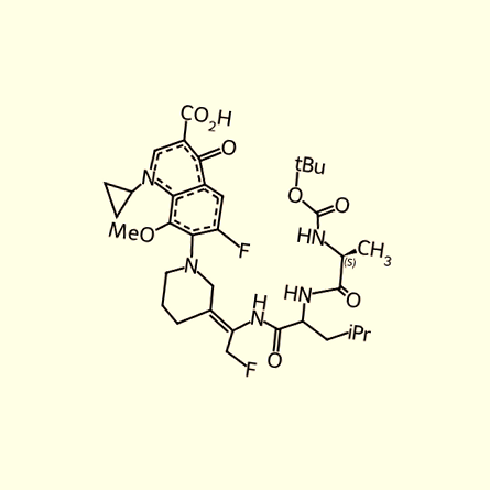 COc1c(N2CCCC(=C(CF)NC(=O)C(CC(C)C)NC(=O)[C@H](C)NC(=O)OC(C)(C)C)C2)c(F)cc2c(=O)c(C(=O)O)cn(C3CC3)c12